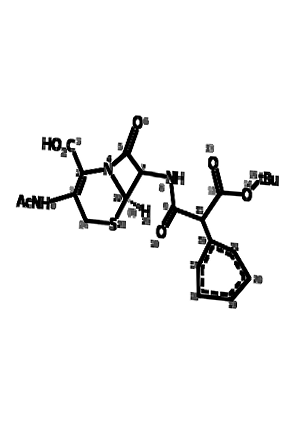 CC(=O)NC1=C(C(=O)O)N2C(=O)C(NC(=O)C(C(=O)OC(C)(C)C)c3ccccc3)[C@H]2SC1